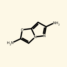 Nc1cc2oc(N)cn2n1